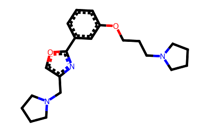 c1cc(OCCCN2CCCC2)cc(-c2nc(CN3CCCC3)co2)c1